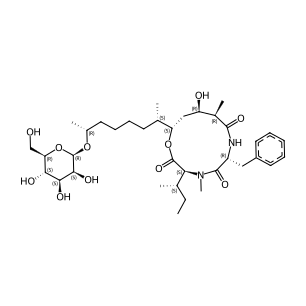 CC[C@H](C)[C@H]1C(=O)O[C@H]([C@@H](C)CCCC[C@@H](C)O[C@@H]2O[C@H](CO)[C@@H](O)[C@H](O)[C@@H]2O)C[C@@H](O)[C@@H](C)C(=O)N[C@H](Cc2ccccc2)C(=O)N1C